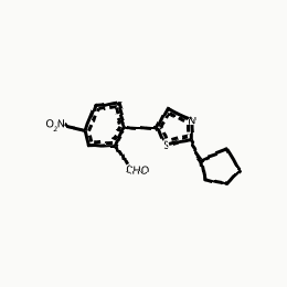 O=Cc1cc([N+](=O)[O-])ccc1-c1cnc(C2CCCC2)s1